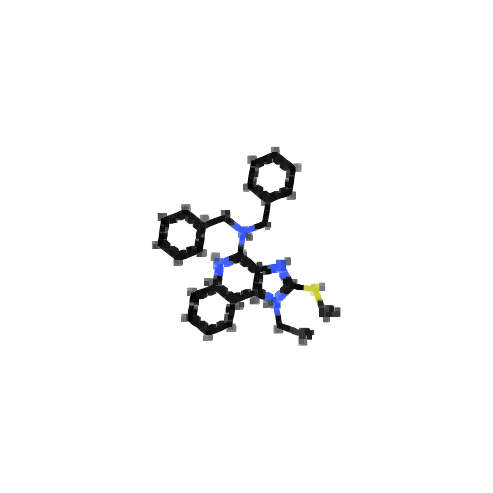 CCCCSc1nc2c(N(Cc3ccccc3)Cc3ccccc3)nc3ccccc3c2n1CC(C)C